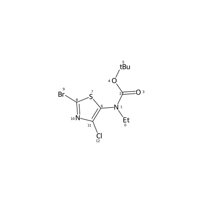 CCN(C(=O)OC(C)(C)C)c1sc(Br)nc1Cl